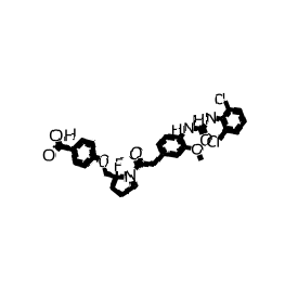 COc1cc(CC(=O)N2CCC[C@]2(F)COc2ccc(C(=O)O)cc2)ccc1NC(=O)Nc1c(Cl)cccc1Cl